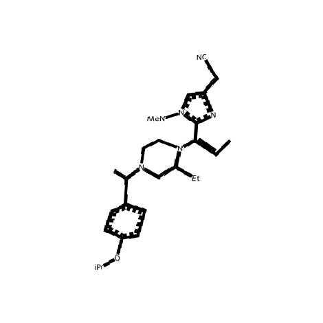 C/C=C(\c1nc(CC#N)cn1NC)N1CCN(C(C)c2ccc(OC(C)C)cc2)CC1CC